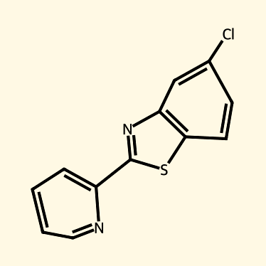 Clc1ccc2sc(-c3ccccn3)nc2c1